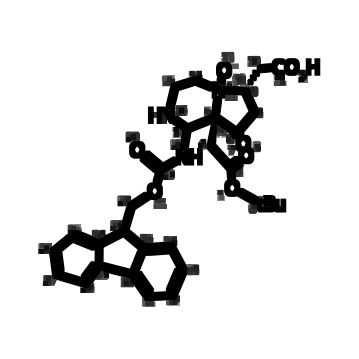 CC(C)(C)OC(=O)C[C@]12C(=O)C[C@@H](CC(=O)O)[N+]1([O-])CCNC2NC(=O)OCC1c2ccccc2-c2ccccc21